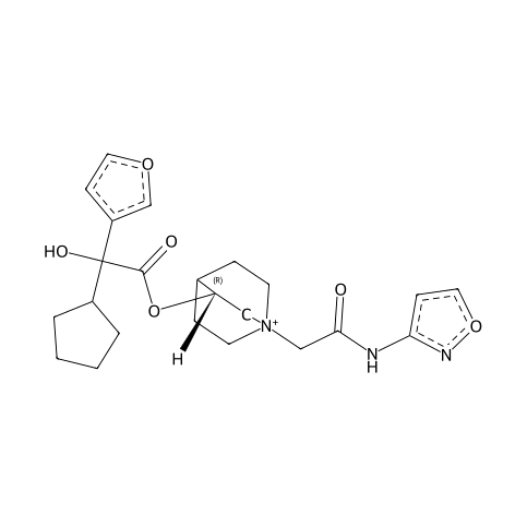 O=C(C[N+]12CCC(CC1)[C@@H](OC(=O)C(O)(c1ccoc1)C1CCCC1)C2)Nc1ccon1